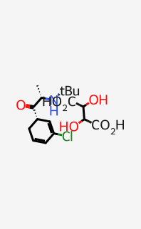 C[C@H](NC(C)(C)C)C(=O)[C@@H]1C=C(Cl)C=CC1.O=C(O)C(O)C(O)C(=O)O